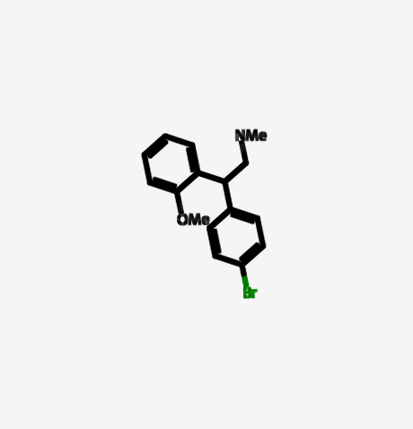 CNCC(c1ccc(Br)cc1)c1ccccc1OC